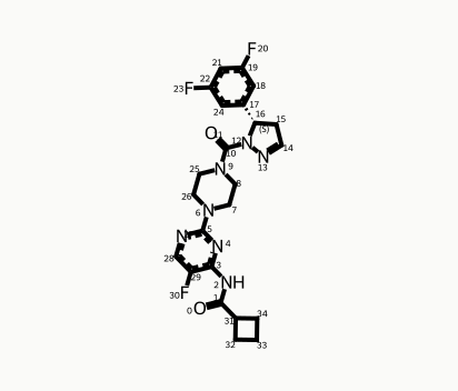 O=C(Nc1nc(N2CCN(C(=O)N3N=CC[C@H]3c3cc(F)cc(F)c3)CC2)ncc1F)C1CCC1